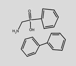 NCP(=O)(O)c1ccccc1.c1ccc(-c2ccccc2)cc1